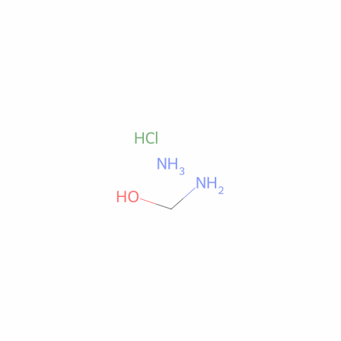 Cl.N.NCO